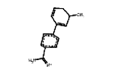 CC1C=C(c2ccc(C(=N)N)cc2)C=CC1